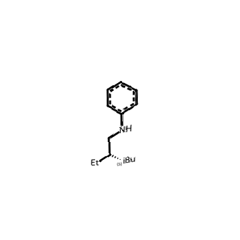 CCC(CNc1ccccc1)[C@@H](C)CC